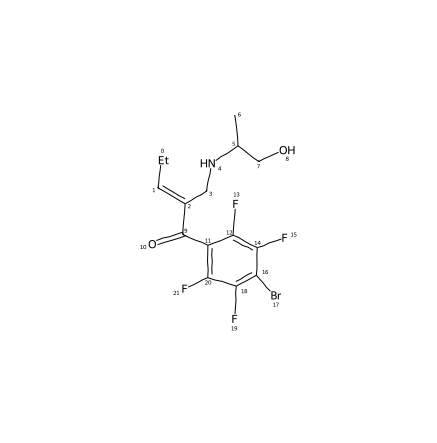 CCC=C(CNC(C)CO)C(=O)c1c(F)c(F)c(Br)c(F)c1F